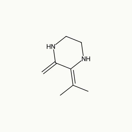 C=C1NCCNC1=C(C)C